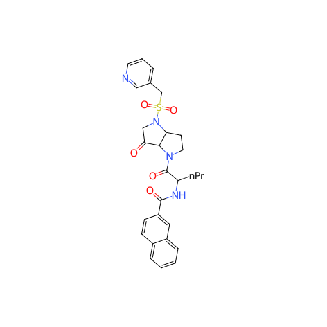 CCCC(NC(=O)c1ccc2ccccc2c1)C(=O)N1CCC2C1C(=O)CN2S(=O)(=O)Cc1cccnc1